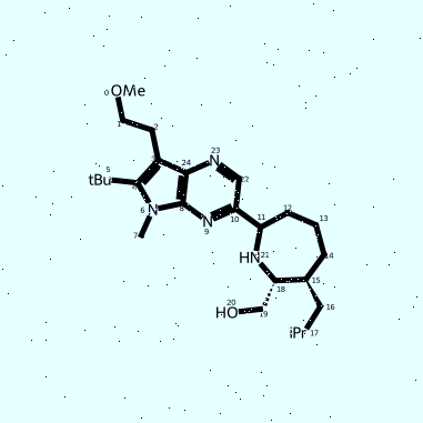 COCCc1c(C(C)(C)C)n(C)c2nc(C3CCC[C@@H](CC(C)C)[C@H](CO)N3)cnc12